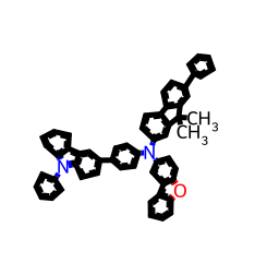 CC1(C)c2cc(-c3ccccc3)ccc2-c2ccc(N(c3ccc(-c4ccc5c(c4)c4ccccc4n5-c4ccccc4)cc3)c3ccc4oc5ccccc5c4c3)cc21